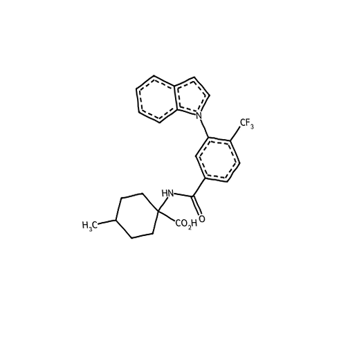 CC1CCC(NC(=O)c2ccc(C(F)(F)F)c(-n3ccc4ccccc43)c2)(C(=O)O)CC1